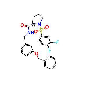 O=C(NCc1cccc(OCc2ccccc2)c1)[C@@H]1CCCN1S(=O)(=O)c1ccc(F)c(F)c1